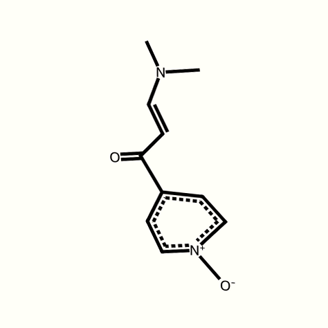 CN(C)C=CC(=O)c1cc[n+]([O-])cc1